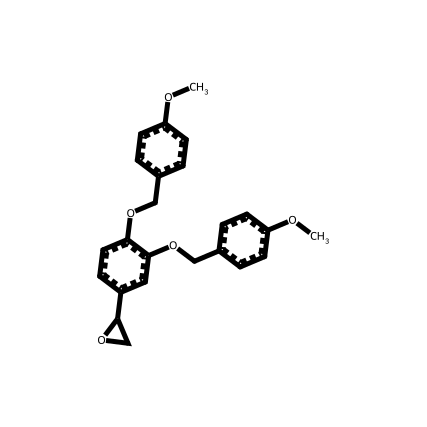 COc1ccc(COc2ccc(C3CO3)cc2OCc2ccc(OC)cc2)cc1